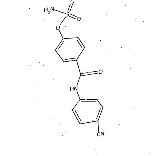 N#Cc1ccc(NC(=O)c2ccc(OS(N)(=O)=O)cc2)cc1